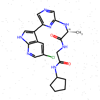 C[C@@H](Nc1cncc(-c2c[nH]c3ncc(Cl)cc23)n1)C(=O)NCC(=O)NC1CCCC1